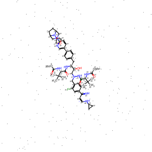 COC(=O)N[C@H](C(=O)N[C@@H](Cc1ccc(-c2ccc(N3CC4CCC(C3)N4C3COC3)nc2)cc1)[C@@H](O)CN(Cc1c(F)cc(C(=N)/C=C\NC2CC2)cc1F)NC(=O)[C@@H](NC(=O)OC)C(C)(C)C(F)(F)F)C(C)(C)C(F)(F)F